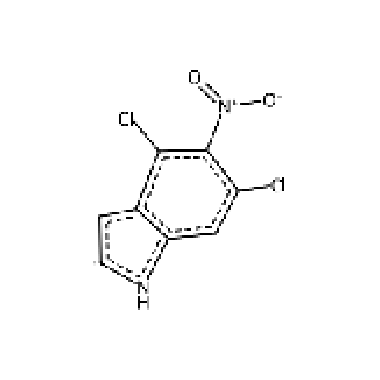 O=[N+]([O-])c1c(Cl)cc2[nH][c]cc2c1Cl